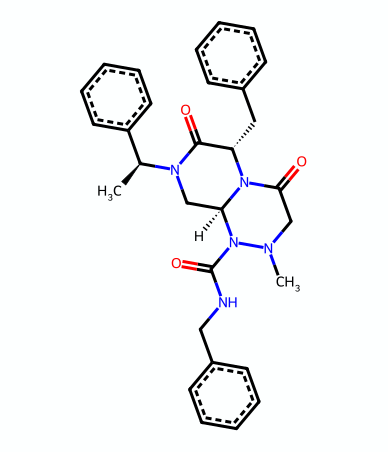 C[C@@H](c1ccccc1)N1C[C@H]2N(C(=O)CN(C)N2C(=O)NCc2ccccc2)[C@@H](Cc2ccccc2)C1=O